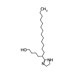 CCCCCCCCCCCCCC(CCCCO)C1=NCCN1